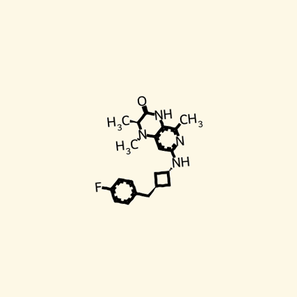 Cc1nc(N[C@H]2C[C@H](Cc3ccc(F)cc3)C2)cc2c1NC(=O)[C@H](C)N2C